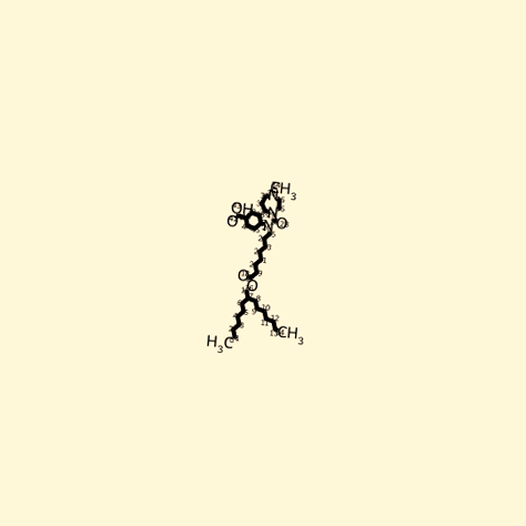 CCCCCCCC(CCCCCCC)COC(=O)CCCCCCCN(C(=O)N1CCCN(C)CC1)C1CCC(C(=O)O)CC1